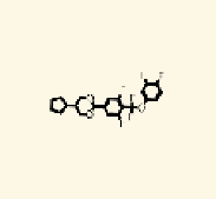 Fc1ccc(OC(F)(F)c2c(F)cc(C3OCC(C4CCCC4)CO3)cc2F)cc1F